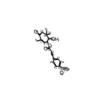 CC1=CC(OC(=O)/C=C/c2ccc([N+](=O)[O-])cc2)C(O)C(C)(C)CC1=O